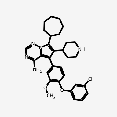 COc1cc(-c2c(C3CCNCC3)c(C3CCCCCC3)n3ncnc(N)c23)ccc1Oc1cccc(Cl)c1